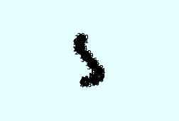 c1ccc(-c2ccc3ccc4ccc(-c5ccc(-c6ccc(-c7ccc8sc9ccccc9c8c7)cc6)cc5)nc4c3n2)cc1